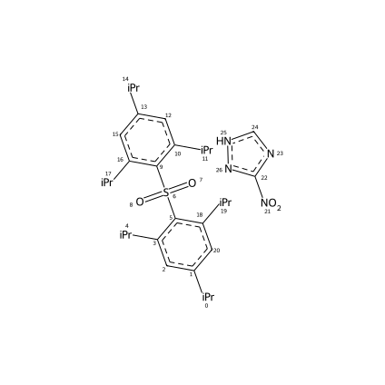 CC(C)c1cc(C(C)C)c(S(=O)(=O)c2c(C(C)C)cc(C(C)C)cc2C(C)C)c(C(C)C)c1.O=[N+]([O-])c1nc[nH]n1